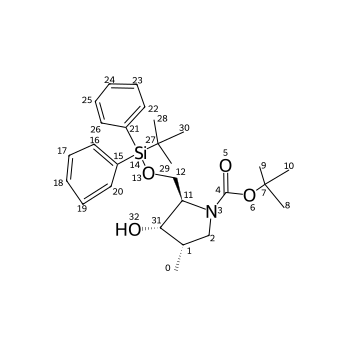 C[C@H]1CN(C(=O)OC(C)(C)C)[C@H](CO[Si](c2ccccc2)(c2ccccc2)C(C)(C)C)[C@H]1O